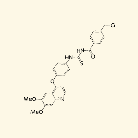 COc1cc2nccc(Oc3ccc(NC(=S)NC(=O)c4ccc(CCl)cc4)cc3)c2cc1OC